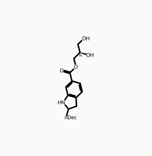 CCCCCCCCCCC1Cc2ccc(C(=O)OC[C@H](O)CO)cc2N1